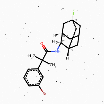 CC(C)(C(=O)N[C@H]1[C@@H]2CC3C[C@H]1C[C@](F)(C3)C2)c1cccc(Br)c1